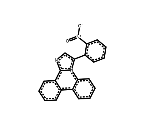 O=[N+]([O-])c1ccccc1-c1cnc2c3ccccc3c3ccccc3n12